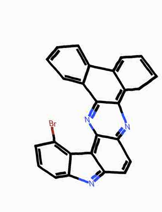 Brc1cccc2c1-c1c(ccc3nc4c5c(c6ccccc6c4nc13)=CC=CC5)=N2